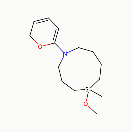 CO[Si]1(C)CCCCN(C2=CC=CCO2)CCC1